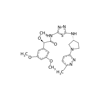 COc1cc(OC)cc([C@@H](OC)C(=O)Nc2nnc(N[C@@H]3CCN(c4ccc(C)nn4)C3)s2)c1